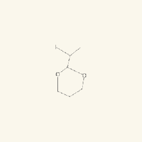 CC(I)C1OCCCO1